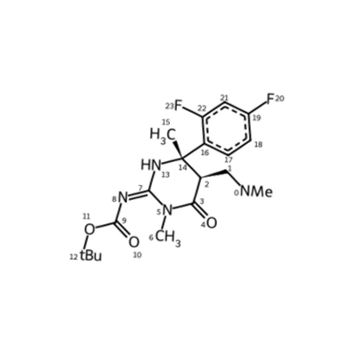 CNC[C@H]1C(=O)N(C)/C(=N\C(=O)OC(C)(C)C)N[C@]1(C)c1ccc(F)cc1F